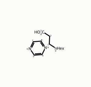 CCCCCCCCC(=O)O.c1cnccn1